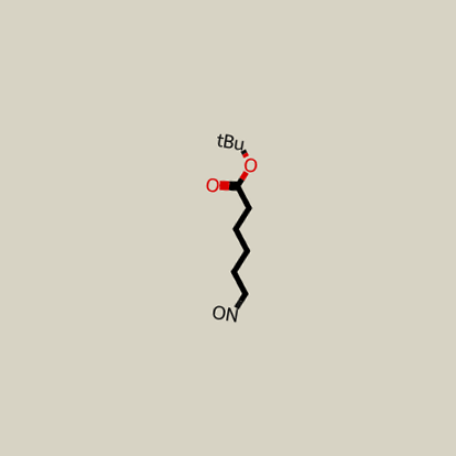 CC(C)(C)OC(=O)CCCCCN=O